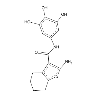 Nc1sc2c(c1C(=O)Nc1cc(O)c(O)c(O)c1)CCCC2